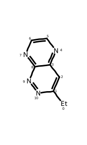 CCc1cc2nccnc2nn1